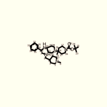 CN1CCC(CNC[C@H](NC2CCN(C3(C)CCN(C(=O)OC(C)(C)C)CC3)CC2)c2ccccc2)CC1